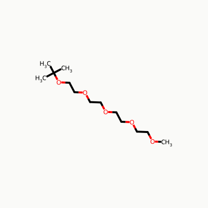 COCCOCCOCCOCCOC(C)(C)C